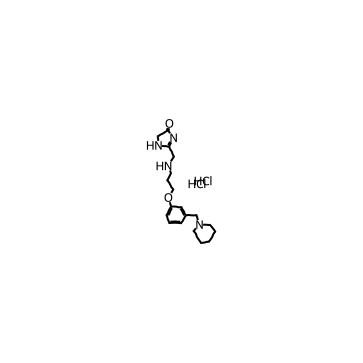 Cl.Cl.O=C1CNC(CNCCCOc2cccc(CN3CCCCC3)c2)=N1